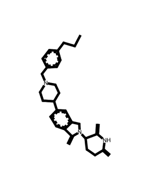 C=C1CCC(N2Cc3cc(C4CCN(Cc5ccc(CCC)cc5)CC4)ccc3C2=C)C(=C)N1